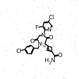 NC(=O)C12CC([C@H]3C(=O)N(c4ncc(Cl)cc4F)CC(=O)N3Cc3ccc(Cl)cc3)(C1)C2